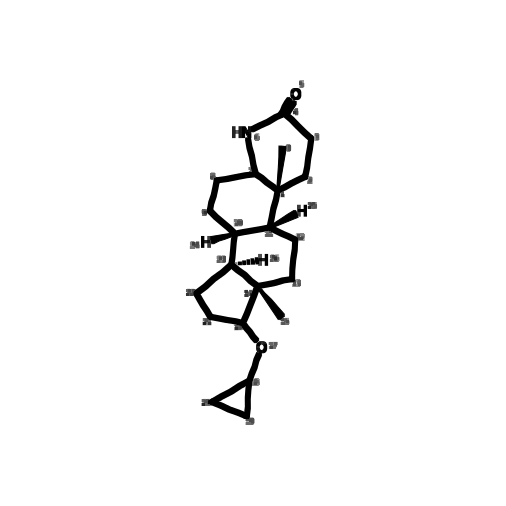 C[C@]12CCC(=O)NC1CC[C@@H]1[C@H]2CC[C@]2(C)C(OC3CC3)CC[C@@H]12